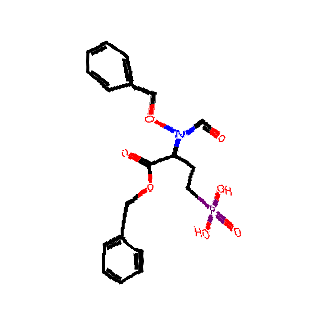 O=CN(OCc1ccccc1)C(CCP(=O)(O)O)C(=O)OCc1ccccc1